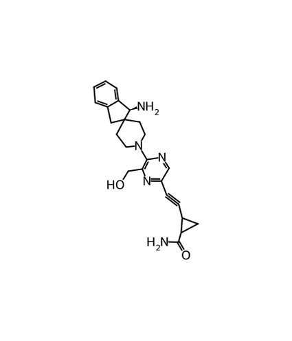 NC(=O)C1CC1C#Cc1cnc(N2CCC3(CC2)Cc2ccccc2[C@H]3N)c(CO)n1